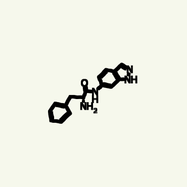 N[C@@H](Cc1ccccc1)C(=O)Nc1ccc2cn[nH]c2c1